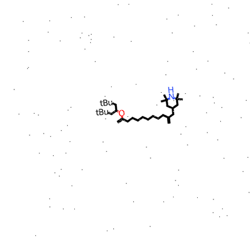 C=C(CCCCCCCCC(=C)OC(CC(C)(C)C)CC(C)(C)C)CC1CC(C)(C)NC(C)(C)C1